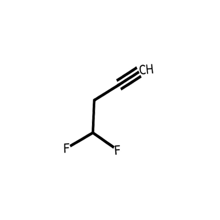 C#CCC(F)F